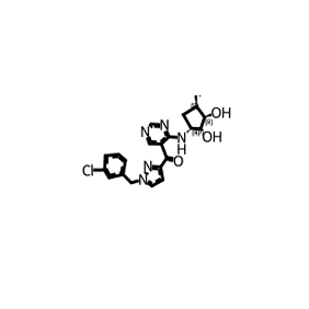 [CH2][C@@H]1C[C@@H](Nc2ncncc2C(=O)c2ccn(Cc3cccc(Cl)c3)n2)[C@H](O)[C@@H]1O